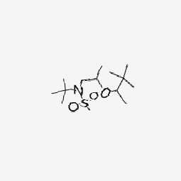 CC(CN(C(C)(C)C)S(C)(=O)=O)OC(C)C(C)(C)C